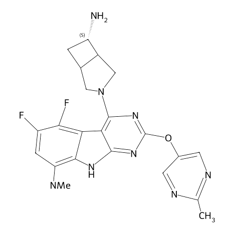 CNc1cc(F)c(F)c2c1[nH]c1nc(Oc3cnc(C)nc3)nc(N3CC4C[C@H](N)C4C3)c12